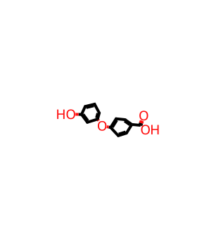 O=C(O)c1ccc(Oc2cccc(O)c2)cc1